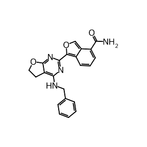 NC(=O)c1cccc2c(-c3nc(NCc4ccccc4)c4c(n3)OCC4)occ12